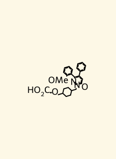 COc1ccccc1-c1nn(CC2CCC(COCC(=O)O)CC2)c(=O)cc1-c1ccccc1